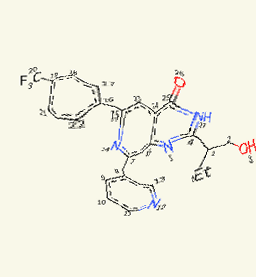 CCC(CO)c1nc2c(-c3cccnc3)nc(-c3ccc(C(F)(F)F)cc3)cc2c(=O)[nH]1